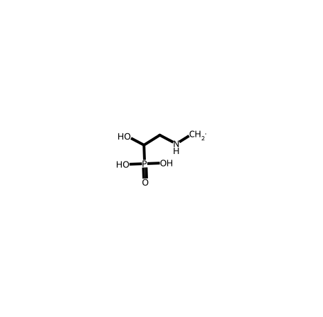 [CH2]NCC(O)P(=O)(O)O